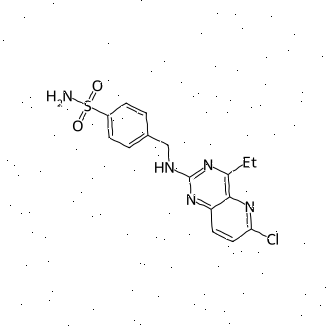 CCc1nc(NCc2ccc(S(N)(=O)=O)cc2)nc2ccc(Cl)nc12